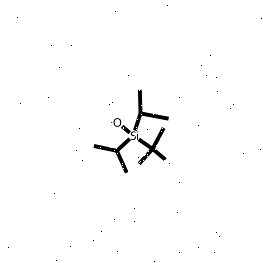 CC(C)[Si]([O])(C(C)C)C(C)(C)C